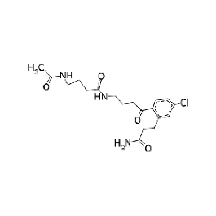 CC(=O)NCCCC(=O)NCCCC(=O)c1ccc(Cl)cc1CCC(N)=O